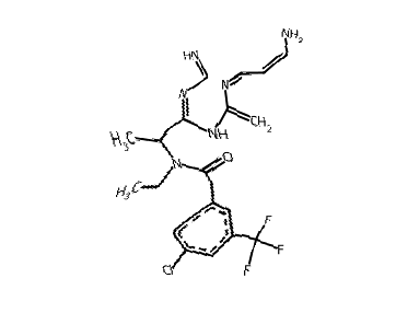 C=C(/N=C\C=C/N)N/C(=N\C=N)C(C)N(CC)C(=O)c1cc(Cl)cc(C(F)(F)F)c1